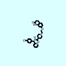 O=C1CCc2ccc(OCCN3CCC(C(=O)N[C@H](c4ccc(Cl)cc4)c4ccccn4)CC3)cc2N1